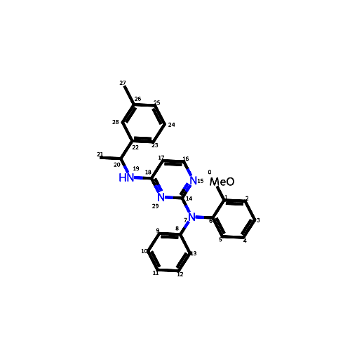 COc1ccccc1N(c1ccccc1)c1nccc(NC(C)c2cccc(C)c2)n1